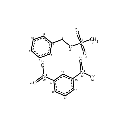 CS(=O)(=O)OCc1ccccc1.O=[N+]([O-])c1cccc([N+](=O)[O-])c1